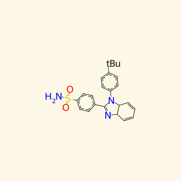 CC(C)(C)c1ccc(N2C(c3ccc(S(N)(=O)=O)cc3)=NC3C=CC=CC32)cc1